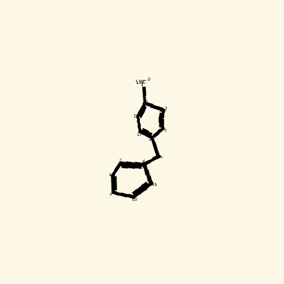 [18F]c1ccc(Cc2ccccc2)cc1